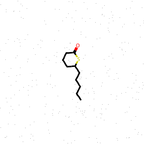 CCCCCC1CCCC(=O)S1